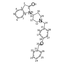 O=C1Cc2ccccc2N1C1CCN(Cc2ccc(OCc3ccccc3)cc2)CC1